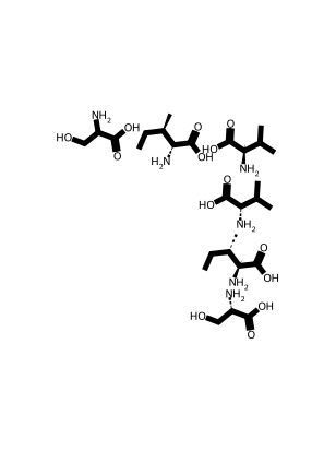 CC(C)[C@@H](N)C(=O)O.CC(C)[C@H](N)C(=O)O.CC[C@@H](C)[C@@H](N)C(=O)O.CC[C@H](C)[C@H](N)C(=O)O.NC(CO)C(=O)O.N[C@@H](CO)C(=O)O